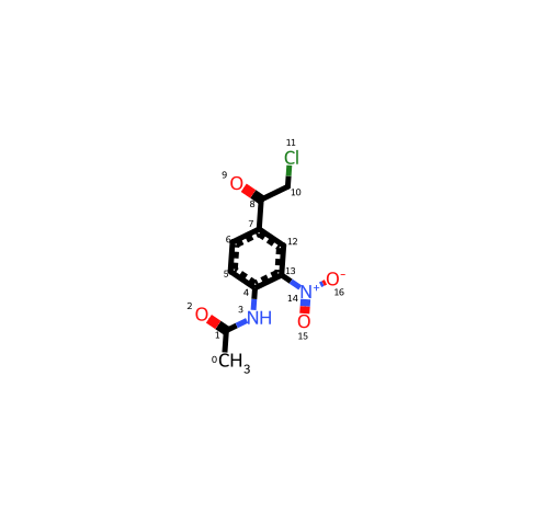 CC(=O)Nc1ccc(C(=O)CCl)cc1[N+](=O)[O-]